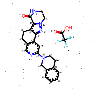 O=C(O)C(F)(F)F.O=C1NCCn2nc3c(c21)CCc1cnc(N2CCc4ccccc4C2)cc1-3